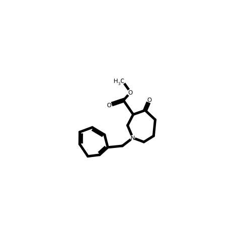 COC(=O)C1CN(CC2=CCC=CC=C2)CCCC1=O